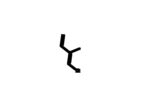 C=C/C(C)=C/CC